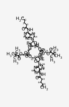 C=CCCC(=O)Nc1ncnc2c1ncn2[C@@H]1O[C@@H]2COP(=O)(OCOC(=O)C(C)(C)C)O[C@@H]3C(COP(=O)(OCOC(=O)C(C)(C)C)CO[C@H]2[C@H]1F)O[C@@H](n1cnc2c(NC(=O)CCC=C)ncnc21)[C@@H]3F